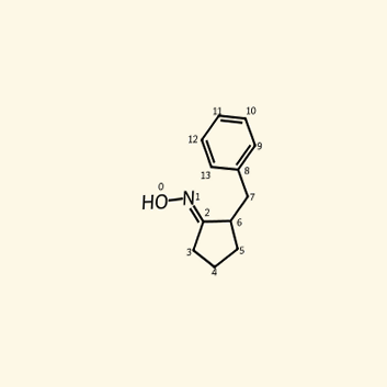 ON=C1CCCC1Cc1ccccc1